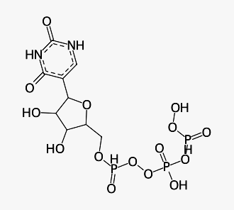 O=c1[nH]cc(C2OC(CO[PH](=O)OOP(=O)(O)O[PH](=O)OO)C(O)C2O)c(=O)[nH]1